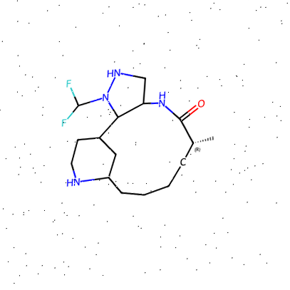 C[C@@H]1CCCCC2CC(CCN2)C2C(CNN2C(F)F)NC1=O